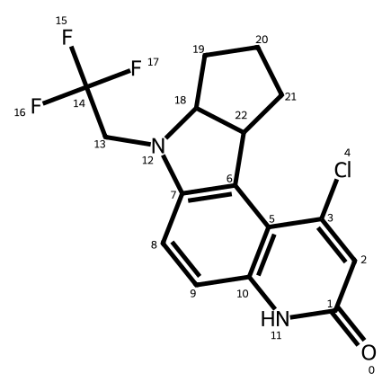 O=c1cc(Cl)c2c3c(ccc2[nH]1)N(CC(F)(F)F)C1CCCC31